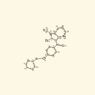 CCc1c(C(=O)c2ccc(OCc3ccccc3)cc2)c2ncccc2n1C